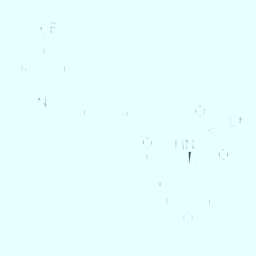 CCS(=O)(=O)N[C@H]1CCOC[C@@H]1COc1ccc(-c2cc(C(F)(F)F)ccn2)cc1